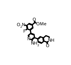 COC(=O)c1cc(-c2cnc(N)c(-c3ccc4c(c3)CCNC4=O)c2)c(F)c([N+](=O)[O-])c1